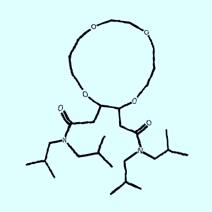 CC(C)CN(CC(C)C)C(=O)CC1OCCCOCCOCCCOC1CC(=O)N(CC(C)C)CC(C)C